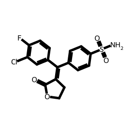 NS(=O)(=O)c1ccc(C(=C2CCOC2=O)c2ccc(F)c(Cl)c2)cc1